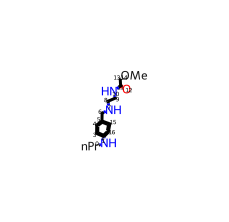 CCCNc1ccc(CNCCNC(=O)COC)cc1